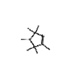 CC1=NC(C)(C)N(C)C1(C)C